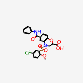 COc1ccc(Cl)cc1S(=O)(=O)N1CC(C(=O)O)Oc2ccc(C(=O)Nc3ccccc3)cc21